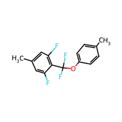 Cc1ccc(OC(F)(F)c2c(F)cc(C)cc2F)cc1